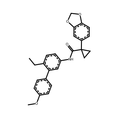 CCc1ccc(NC(=O)C2(c3ccc4c(c3)OCO4)CC2)cc1-c1ccc(OC)cc1